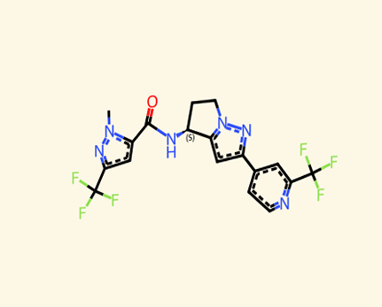 Cn1nc(C(F)(F)F)cc1C(=O)N[C@H]1CCn2nc(-c3ccnc(C(F)(F)F)c3)cc21